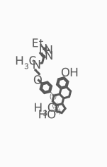 CCn1cc(CN(C)CCOc2ccc([C@H]3C[C@@]4(C)C(CC[C@@H]4O)C4CCc5cc(O)ccc5C43)cc2)nn1